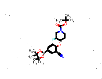 CC(C)(C)OC(=O)N1CC[C@H](Oc2ccc(B3OC(C)(C)C(C)(C)O3)cc2C#N)C(F)C1